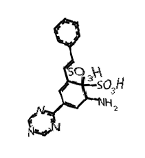 NC1C=C(c2ncncn2)C=C(C=Cc2ccccc2)C1(S(=O)(=O)O)S(=O)(=O)O